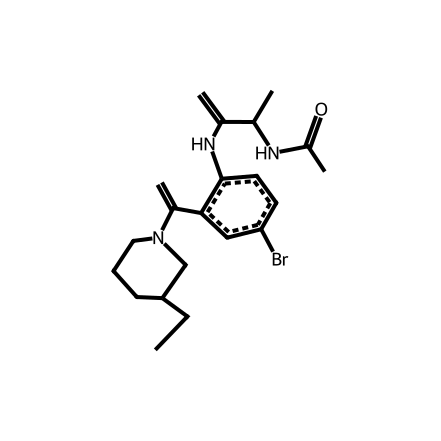 C=C(Nc1ccc(Br)cc1C(=C)N1CCCC(CC)C1)C(C)NC(C)=O